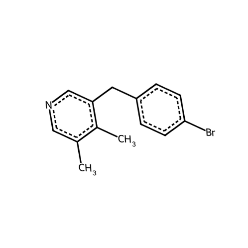 Cc1cncc(Cc2ccc(Br)cc2)c1C